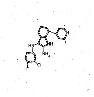 Cc1cc(-c2cccc3c(Nc4ccc(F)c(Cl)c4)c(N)[nH]c23)ccn1